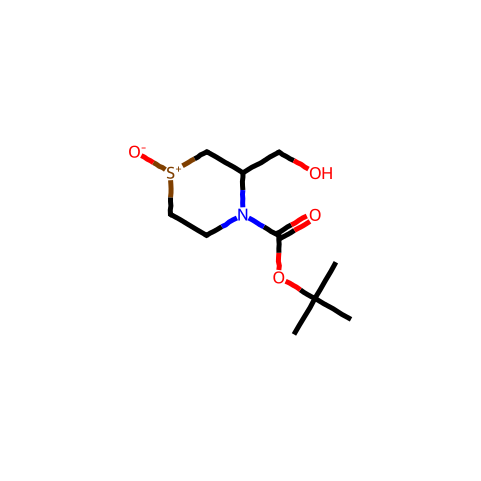 CC(C)(C)OC(=O)N1CC[S+]([O-])CC1CO